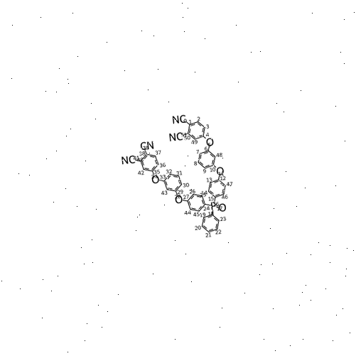 N#Cc1ccc(Oc2cccc(Oc3ccc(P(=O)(c4ccccc4)c4ccc(Oc5cccc(Oc6ccc(C#N)c(C#N)c6)c5)cc4)cc3)c2)cc1C#N